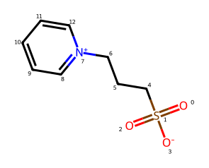 O=S(=O)([O-])CCC[n+]1ccccc1